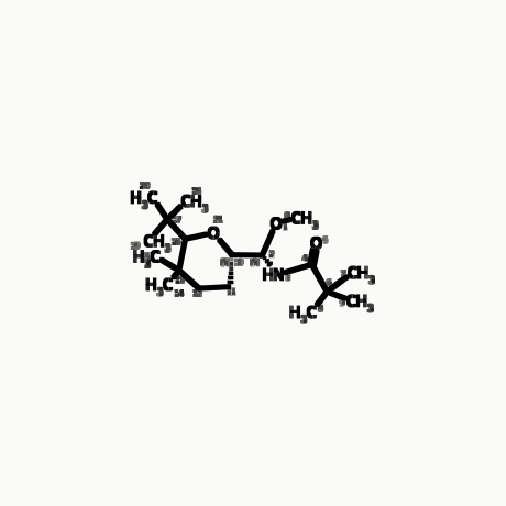 CO[C@H](NC(=O)C(C)(C)C)[C@@H]1CCC(C)(C)C(C(C)(C)C)O1